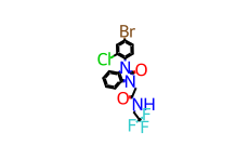 O=C(Cn1c(=O)n(-c2ccc(Br)cc2Cl)c2ccccc21)NCC(F)(F)F